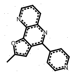 Cc1cc2c(-c3ccncc3)nc3cccnc3c2o1